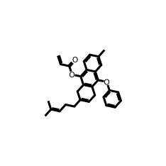 C=CC(=O)Oc1c2c(c(Oc3ccccc3)c3cc(C)ccc13)CC=C(CCC=C(C)C)C2